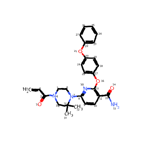 C=CC(=O)N1CCN(c2ccc(C(N)=O)c(Oc3ccc(Oc4ccccc4)cc3)n2)C(C)(C)C1